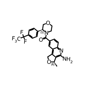 C[C@H]1OCc2c1c(N)nc1ccc(C(=O)N3CCOC[C@@H]3c3ccc(C(F)(F)C(F)(F)F)cc3)cc21